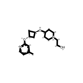 Cc1ccnc(O[C@H]2C[C@H](OC3CCN(CCO)CC3)C2)c1